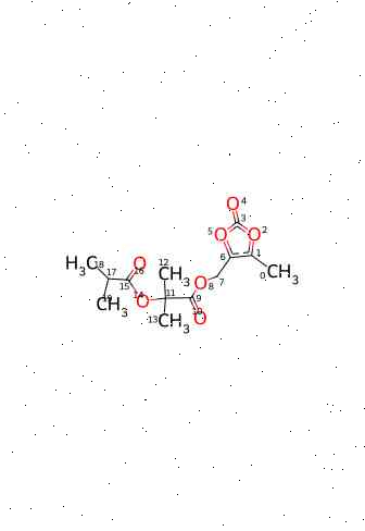 Cc1oc(=O)oc1COC(=O)C(C)(C)OC(=O)C(C)C